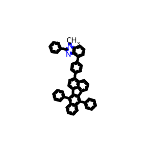 Cn1c(-c2ccccc2)nc2c(-c3ccc(-c4ccc5c6c(cccc46)-c4c-5c(-c5ccccc5)c5ccccc5c4-c4ccccc4)cc3)cccc21